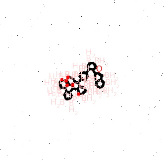 Bc1c(B)c(B)c(-c2c(B)c(B)c(B)c(B)c2-c2c3c(B)c(B)c(B)c(B)c3c(-c3c(B)c(B)c(-c4c(B)c(B)c(B)c5oc6c(B)c7c(B)c(B)c(B)c(B)c7c(B)c6c45)c(B)c3B)c3c(B)c(B)c(B)c(B)c23)c(B)c1B